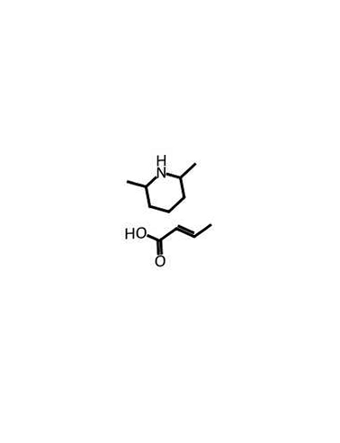 CC1CCCC(C)N1.CC=CC(=O)O